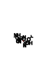 CC(C)c1ccc(C(O)(c2cncc(-c3noc(CC(C)(C)N)n3)c2)C2(C)CN(C)C2)cc1